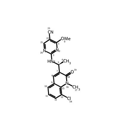 COc1nc(N[C@@H](C)c2cc3cccc(Cl)c3n(C)c2=O)ncc1C#N